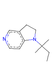 CCC(C)(C)N1CCc2cnccc21